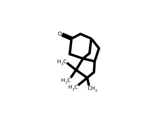 CC1(C)CC2CC3CC(=O)CC2(C3)C1(C)C